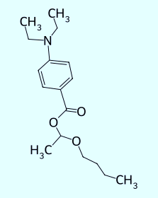 CCCCOC(C)OC(=O)c1ccc(N(CC)CC)cc1